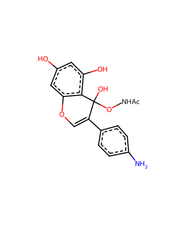 CC(=O)NOC1(O)C(c2ccc(N)cc2)=COc2cc(O)cc(O)c21